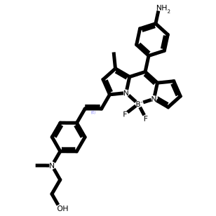 Cc1cc(/C=C/c2ccc(N(C)CCO)cc2)n2c1C(c1ccc(N)cc1)=C1C=CC=[N+]1[B-]2(F)F